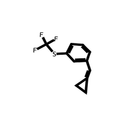 FC(F)(F)Sc1cccc(C=C2CC2)c1